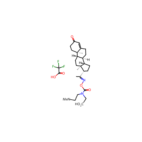 CNCCN(CC(=O)O)C(=O)O/N=C(\C)[C@H]1CC[C@H]2[C@@H]3CCC4=CC(=O)CC[C@]4(C)[C@H]3CC[C@]12C.O=C(O)C(F)(F)F